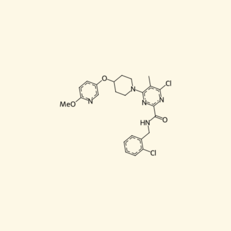 COc1ccc(OC2CCN(c3nc(C(=O)NCc4ccccc4Cl)nc(Cl)c3C)CC2)cn1